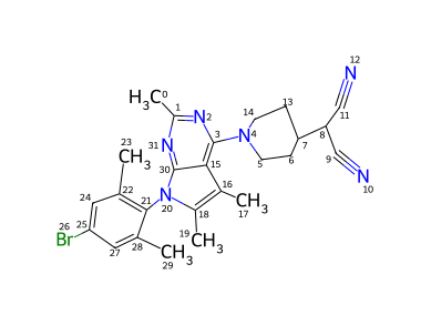 Cc1nc(N2CCC(C(C#N)C#N)CC2)c2c(C)c(C)n(-c3c(C)cc(Br)cc3C)c2n1